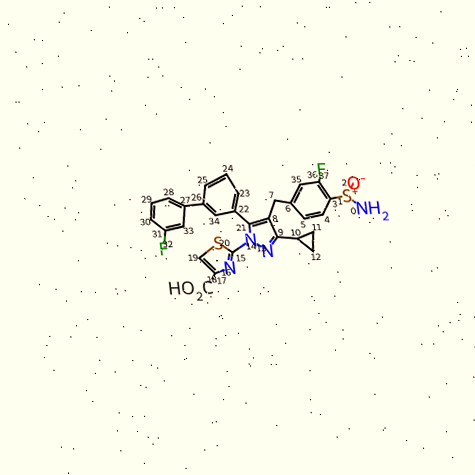 N[S+]([O-])c1ccc(Cc2c(C3CC3)nn(-c3nc(C(=O)O)cs3)c2-c2cccc(-c3cccc(F)c3)c2)cc1F